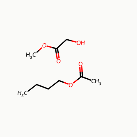 CCCCOC(C)=O.COC(=O)CO